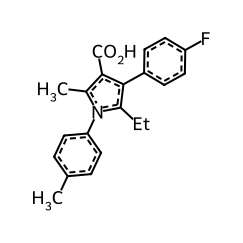 CCc1c(-c2ccc(F)cc2)c(C(=O)O)c(C)n1-c1ccc(C)cc1